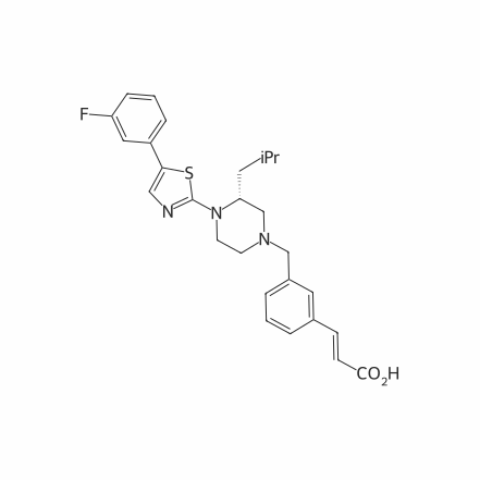 CC(C)C[C@@H]1CN(Cc2cccc(/C=C/C(=O)O)c2)CCN1c1ncc(-c2cccc(F)c2)s1